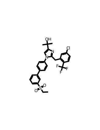 CCS(=O)(=O)c1cccc(-c2ccc(-n3cc(C(C)(C)O)nc3Cc3cc(Cl)ccc3C(F)(F)F)cc2)c1